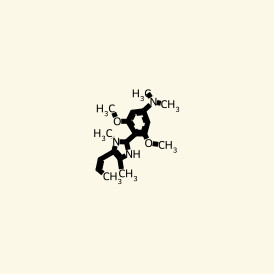 C/C=C\C1=C(C)NC(c2c(OC)cc(N(C)C)cc2OC)N1C